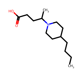 CCCCC1CCN(C(C)CCC(=O)O)CC1